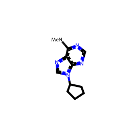 CNc1ncnc2c1ncn2C1CCCC1